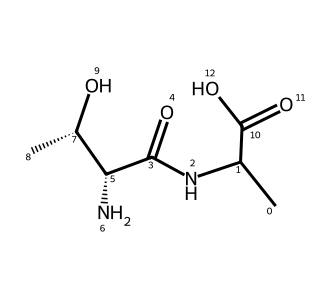 CC(NC(=O)[C@H](N)[C@H](C)O)C(=O)O